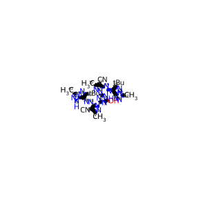 [C-]#[N+]c1c(C)nn(-c2nc(O)nc(-n3nc(C)c(C#N)c3/N=N/c3c(C(C)(C)C)nn4c(C)n[nH]c34)n2)c1/N=N/c1c(C(C)(C)C)nn2c(C)n[nH]c12